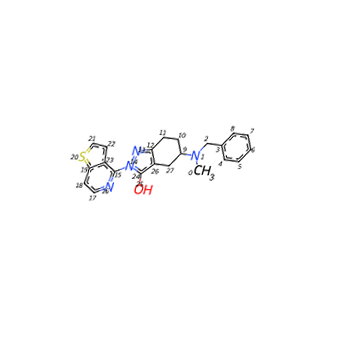 CN(Cc1ccccc1)C1CCc2nn(-c3nccc4sccc34)c(O)c2C1